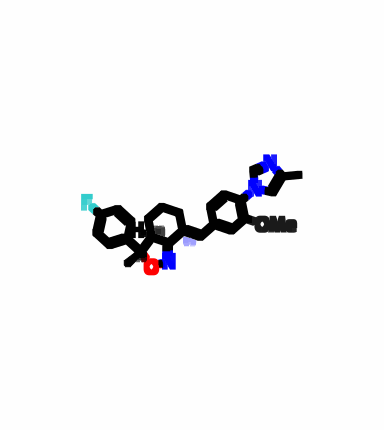 COc1cc(/C=C2\CCC[C@H]3C2=NO[C@]3(C)c2ccc(F)cc2)ccc1-n1cnc(C)c1